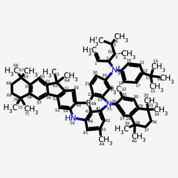 C=CC([C@@H](C)C(C)C)N(c1ccc(C(C)(C)C)cc1)c1ccc2c(c1)N(c1cc3c(cc1C)C(C)(C)CCC3(C)C)c1cc(C)cc3c1B2c1cc2c(cc1N3)-c1cc3c(cc1C2(C)C)C(C)(C)CCC3(C)C